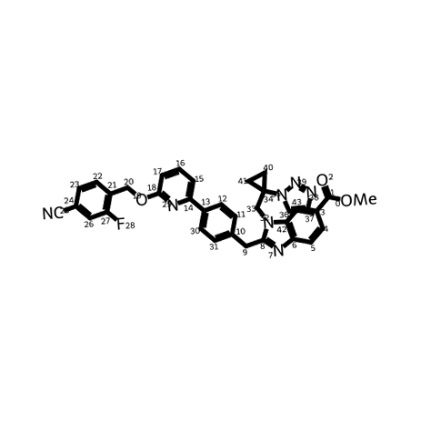 COC(=O)c1ccc2nc(Cc3ccc(-c4cccc(OCc5ccc(C#N)cc5F)n4)cc3)n(CC3(n4ccnn4)CC3)c2c1